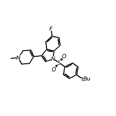 CN1CC=C(c2cn(S(=O)(=O)c3ccc(C(C)(C)C)cc3)c3ccc(F)cc23)CC1